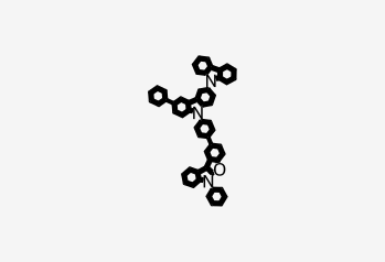 c1ccc(-c2ccc3c(c2)c2cc(-n4c5ccccc5c5ccccc54)ccc2n3-c2ccc(-c3ccc4oc5c(c4c3)c3ccccc3n5-c3ccccc3)cc2)cc1